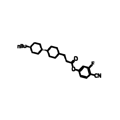 CCCC[C@H]1CC[C@H](C2CCC(CCC(=O)Oc3ccc(C#N)c(F)c3)CC2)CC1